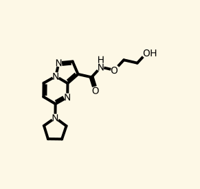 O=C(NOCCO)c1cnn2ccc(N3CCCC3)nc12